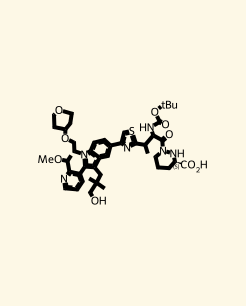 COC(C)c1ncccc1-c1c(CC(C)(C)CO)c2cc(-c3csc(C(C)C(NC(=O)OC(C)(C)C)C(=O)N4CCC[C@@H](C(=O)O)N4)n3)ccc2n1CCOC1CCOCC1